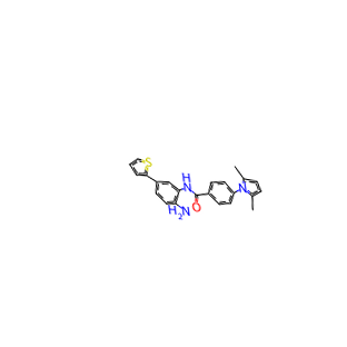 Cc1ccc(C)n1-c1ccc(C(=O)Nc2cc(-c3cccs3)ccc2N)cc1